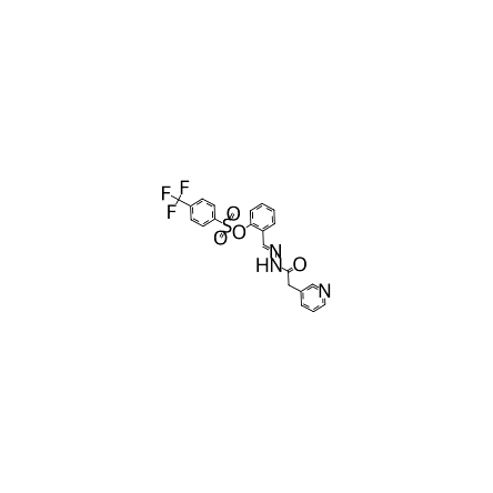 O=C(Cc1cccnc1)NN=Cc1ccccc1OS(=O)(=O)c1ccc(C(F)(F)F)cc1